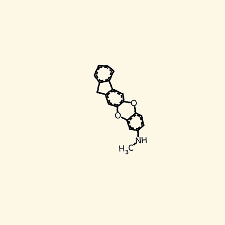 CNc1ccc2c(c1)Oc1cc3c(cc1O2)-c1ccccc1C3